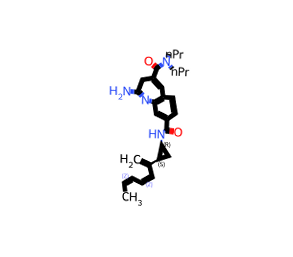 C=C(/C=C\C=C/C)[C@@H]1C[C@H]1NC(=O)c1ccc2c(c1)N=C(N)CC(C(=O)N(CCC)CCC)=C2